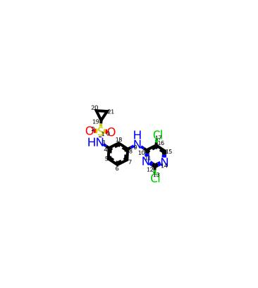 O=S(=O)(Nc1cccc(Nc2nc(Cl)ncc2Cl)c1)C1CC1